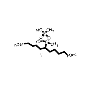 CCCCCCCCCCCCCCC(CCCCCCCCCCCCCC)[P+](C)(CCCC)OP(C)(=O)O.[I-]